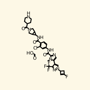 Cn1c(-c2cn(C3C=C(F)C3)nc2C(F)(F)F)cnc1C(=O)Nc1ccc(C(=O)NC2C3CN(C(=O)C4CCNCC4)CC32)c(Cl)c1.O=CO